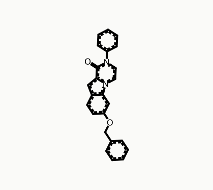 O=c1c2cc3ccc(OCc4ccccc4)cc3n2ccn1-c1ccccc1